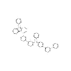 Cc1c(/C=C\C=C\c2cccc(-c3cccc(N(c4ccccc4)c4ccc(-c5cccc(-c6ccccc6)c5)cc4)c3)c2)n(-c2ccccc2)c2ccccc12